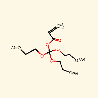 C=CC(=O)OC(OCCOC)(OCCOC)OCCOC